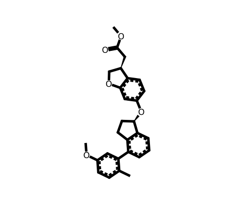 COC(=O)C[C@@H]1COc2cc(O[C@@H]3CCc4c(-c5cc(OC)ccc5C)cccc43)ccc21